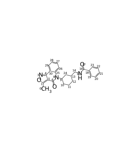 Cc1onc2c1c(=O)n(C1CCCC(CNC(=O)c3ccccc3)C1)c1ccccc21